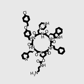 NCCNC(=O)O[C@@H]1C[C@H]2C(=O)N[C@H](CCc3ccccc3)C(=O)N[C@H](Cc3c[nH]c4ccccc34)C(=O)NC(CN3CCNCC3)C(=O)N[C@@H](Cc3ccc(OCc4ccc(Cl)cc4)cc3)C(=O)N[C@@H](CCc3cccnc3)C(=O)N2C1